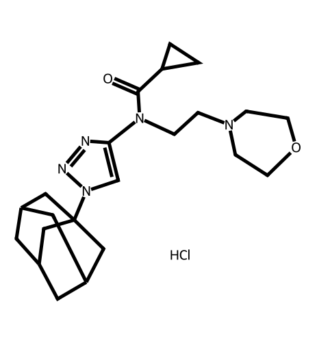 Cl.O=C(C1CC1)N(CCN1CCOCC1)c1cn(C23CC4CC(CC(C4)C2)C3)nn1